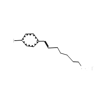 CCOC(=O)CCCCCC=Cc1ccc(Cl)cc1